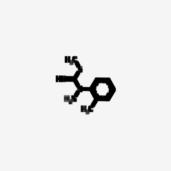 CSC(=N)N(N)c1ccccc1C